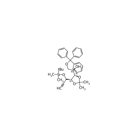 C#CC(O[Si](C)(C)C(C)(C)C)[C@@H]1OC(C)(C)O[C@@H]1[C@H](O)COC(c1ccccc1)(c1ccccc1)c1ccccc1